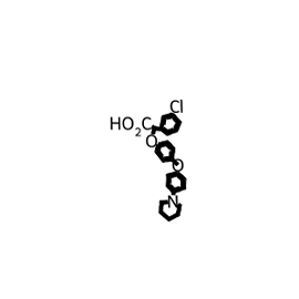 O=C(O)C(Oc1ccc(Oc2ccc(N3CCCCC3)cc2)cc1)c1cccc(Cl)c1